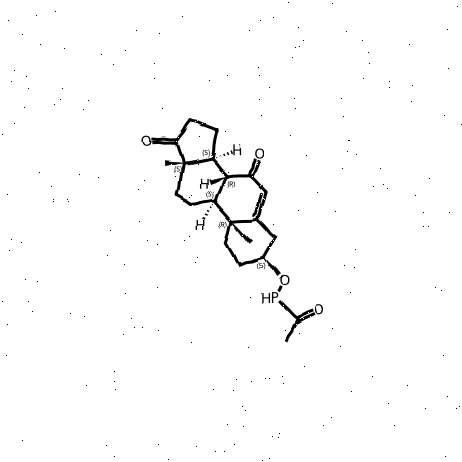 CC(=O)PO[C@H]1CC[C@@]2(C)C(=CC(=O)[C@@H]3[C@@H]2CC[C@]2(C)C(=O)CC[C@@H]32)C1